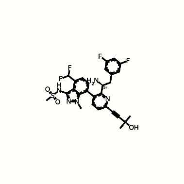 Cn1nc(NS(C)(=O)=O)c2c(C(F)F)ccc(-c3ccc(C#CC(C)(C)O)nc3[C@@H](N)Cc3cc(F)cc(F)c3)c21